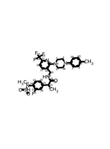 Cc1ccc(N2CCN(c3nc(C(F)(F)F)ccc3CNC(=O)C(C)c3ccc(N(C)[SH](=O)=O)c(F)c3)CC2)cc1